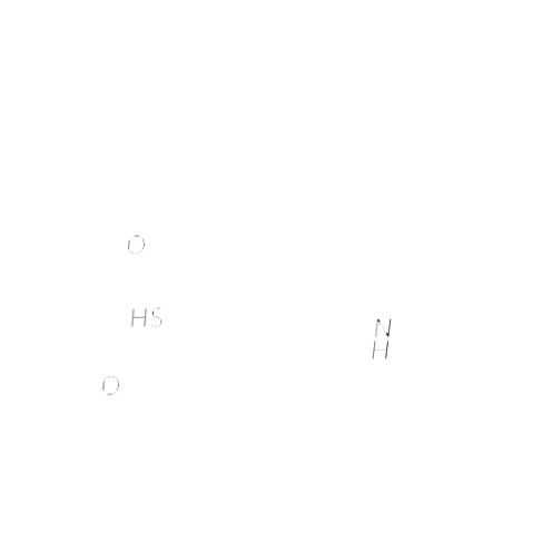 O=[SH](=O)Cc1cccc2cc[nH]c12